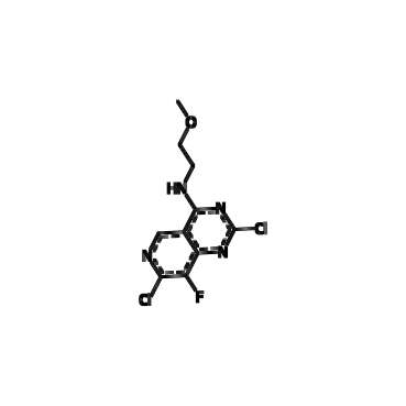 COCCNc1nc(Cl)nc2c(F)c(Cl)ncc12